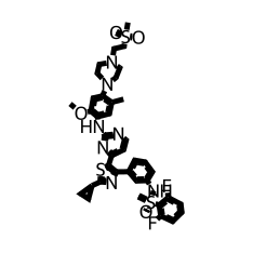 C=S(=O)(Nc1cccc(-c2nc(C3CC3)sc2-c2ccnc(Nc3cc(C)c(N4CCN(CCS(C)(=O)=O)CC4)cc3OC)n2)c1)c1c(F)cccc1F